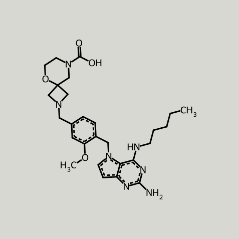 CCCCCNc1nc(N)nc2ccn(Cc3ccc(CN4CC5(C4)CN(C(=O)O)CCO5)cc3OC)c12